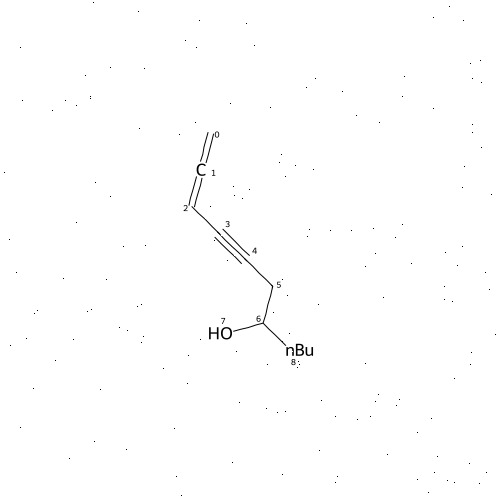 C=C=CC#CCC(O)CCCC